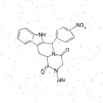 CCCCN1CC(=O)N2C(Cc3c([nH]c4ccccc34)C2c2ccc([N+](=O)[O-])cc2)C1=O